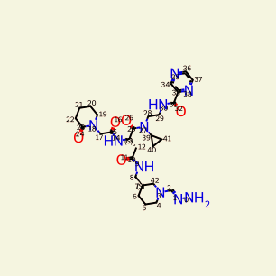 NN=CN1CCC[C@@H](CNC(=O)C[C@H](NC(=O)CN2CCCCC2=O)C(=O)N(CCNC(=O)c2cnccn2)C2CC2)C1